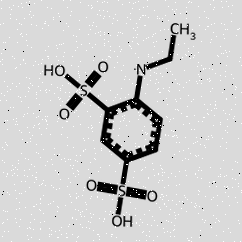 CC[N]c1ccc(S(=O)(=O)O)cc1S(=O)(=O)O